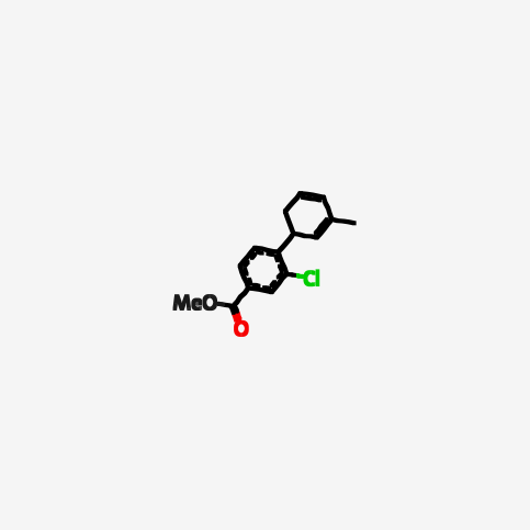 COC(=O)c1ccc(C2C=C(C)C=CC2)c(Cl)c1